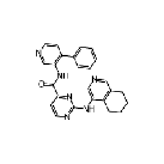 O=C(Nc1cnccc1-c1ccccc1)c1ccnc(Nc2cncc3c2CCCC3)n1